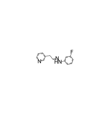 Fc1cccc(NN=CCc2cccnc2)c1